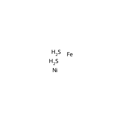 S.S.[Fe].[Ni]